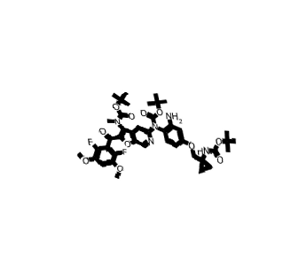 COc1cc(OC)c(F)c(C(=O)c2oc3cnc(N(C(=O)OC(C)(C)C)c4ccc(OCC5(NC(=O)OC(C)(C)C)CC5)cc4N)cc3c2N(C)C(=O)OC(C)(C)C)c1F